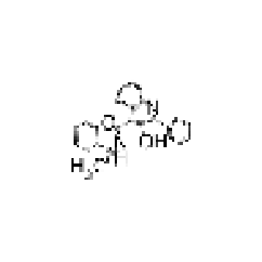 CC[C@H](NC(=O)c1c(O)c(-c2ccccc2)nc2ccccc12)C1C=CC=CC1